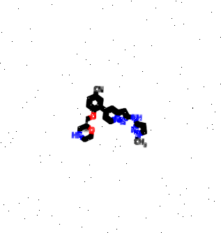 Cn1ccc(Nc2cc3cc(-c4cc(C#N)ccc4OC[C@H]4CNCCO4)ccn3n2)n1